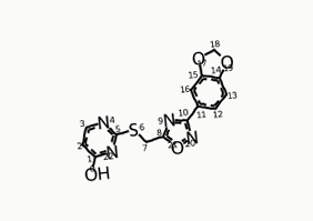 Oc1ccnc(SCc2nc(-c3ccc4c(c3)OCO4)no2)n1